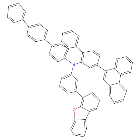 c1ccc(-c2ccc(-c3ccc(N(c4cccc(-c5cccc6c5oc5ccccc56)c4)c4cc(-c5cc6ccccc6c6ccccc56)ccc4-c4ccccc4)cc3)cc2)cc1